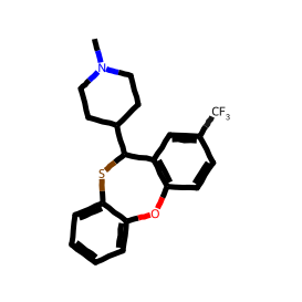 CN1CCC(C2Sc3ccccc3Oc3ccc(C(F)(F)F)cc32)CC1